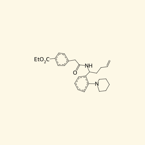 C=CCCC(NC(=O)Cc1ccc(C(=O)OCC)cc1)c1ccccc1N1CCCCC1